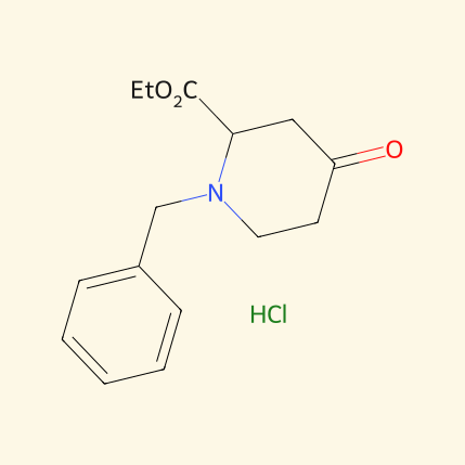 CCOC(=O)C1CC(=O)CCN1Cc1ccccc1.Cl